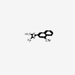 Cc1nc(-c2cc(C#N)c3ccccc3c2)oc1C(=O)O